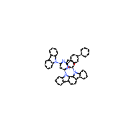 c1ccc(-c2ccc(-c3nc(-n4c5ccccc5c5ccccc54)cc(-n4c5ccccc5c5ccc6c7ccccc7n(-c7ccccc7)c6c54)n3)cc2)cc1